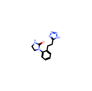 O=C1NCCN1c1ccccc1CCc1nnn[nH]1